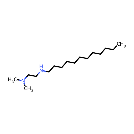 CCCCCCCCCCCCNCCN(C)C